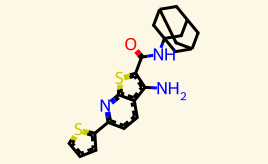 Nc1c(C(=O)NC23CC4CC(CC(C4)C2)C3)sc2nc(-c3cccs3)ccc12